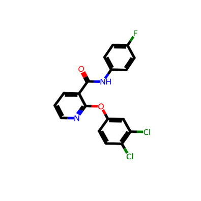 O=C(Nc1ccc(F)cc1)c1cccnc1Oc1ccc(Cl)c(Cl)c1